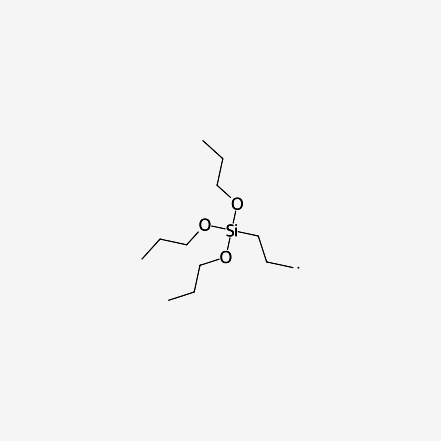 [CH2]CC[Si](OCCC)(OCCC)OCCC